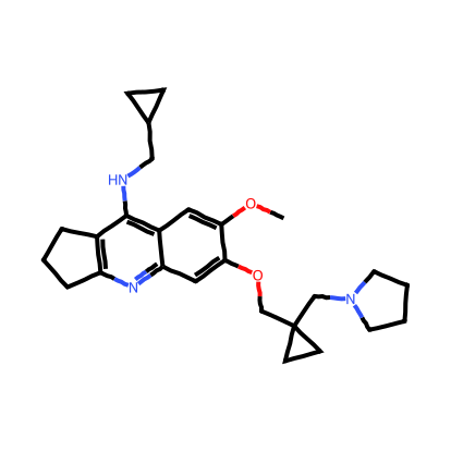 COc1cc2c(NCC3CC3)c3c(nc2cc1OCC1(CN2CCCC2)CC1)CCC3